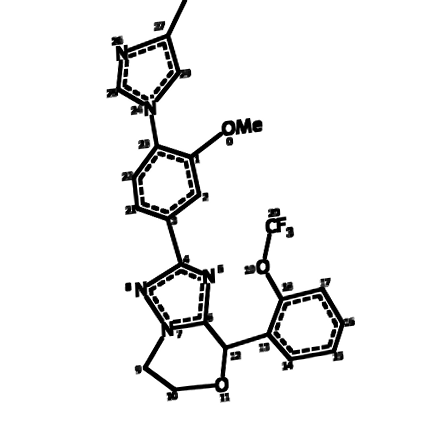 COc1cc(-c2nc3n(n2)CCOC3c2ccccc2OC(F)(F)F)ccc1-n1cnc(C)c1